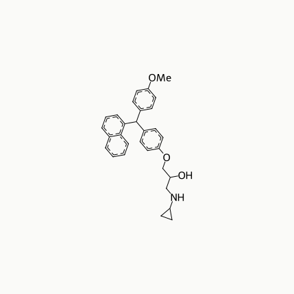 COc1ccc(C(c2ccc(OCC(O)CNC3CC3)cc2)c2cccc3ccccc23)cc1